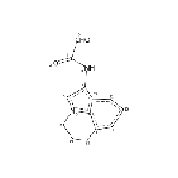 O=CC(=O)Nc1cn2c3c(cccc13)CCC2